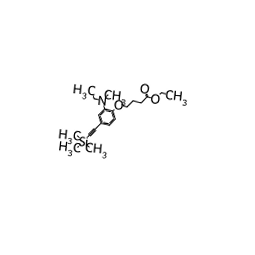 CCOC(=O)CCCOc1ccc(C#C[Si](C)(C)C)cc1N(C)CC